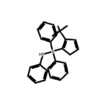 CC(C)(C)C1=C([Si](Nc2ccccc2)(c2ccccc2)c2ccccc2)CC=C1